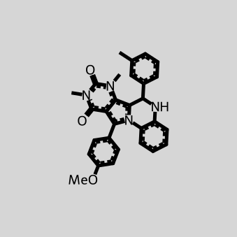 COc1ccc(-c2c3c(=O)n(C)c(=O)n(C)c3c3n2-c2ccccc2NC3c2cccc(C)c2)cc1